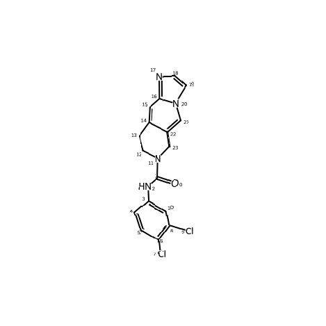 O=C(Nc1ccc(Cl)c(Cl)c1)N1CCc2cc3nccn3cc2C1